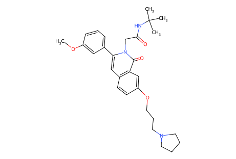 COc1cccc(-c2cc3ccc(OCCCN4CCCC4)cc3c(=O)n2CC(=O)NC(C)(C)C)c1